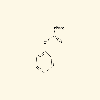 CCCCCC(=O)Oc1[c]cccc1